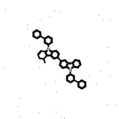 CC1CC=Cc2c1c1cc(-c3ccc4c(c3)c3ccccc3n4-c3cccc(-c4ccccc4)c3)ccc1n2-c1cccc(-c2ccccc2)c1